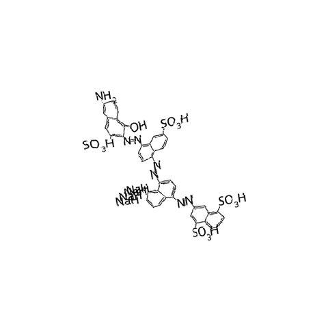 Nc1ccc2c(O)c(/N=N/c3ccc(/N=N/c4ccc(/N=N/c5cc(S(=O)(=O)O)c6cccc(S(=O)(=O)O)c6c5)c5ccccc45)c4ccc(S(=O)(=O)O)cc34)c(S(=O)(=O)O)cc2c1.[NaH].[NaH].[NaH].[NaH]